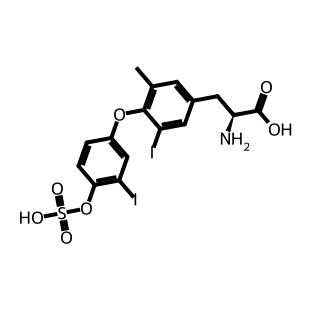 Cc1cc(C[C@H](N)C(=O)O)cc(I)c1Oc1ccc(OS(=O)(=O)O)c(I)c1